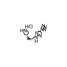 Cl.c1nc(NCC[C@H]2C[C@@H]2C2CCNCC2)ncc1-n1cnnn1